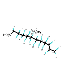 CNC.O=S(=O)(O)C(F)C(F)(F)C(F)(F)C(F)(F)C(F)(F)C(F)(F)C(F)(F)C(F)(F)C(F)C(F)C(F)F